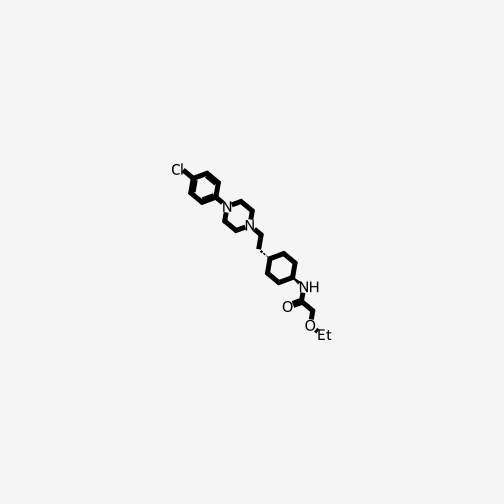 CCOCC(=O)N[C@H]1CC[C@H](CCN2CCN(c3ccc(Cl)cc3)CC2)CC1